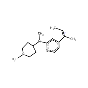 C/C=C(/C)c1ccnc(N(C)C2CCN(C)CC2)c1